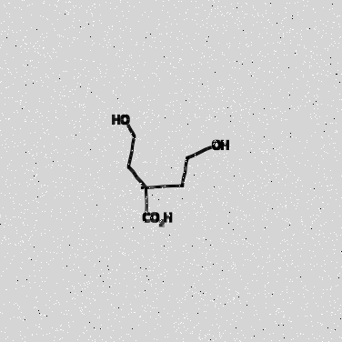 O=C(O)[C](CCO)CCO